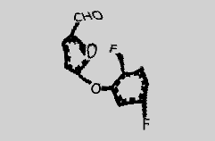 O=Cc1ccc(Oc2cc(F)ccc2F)o1